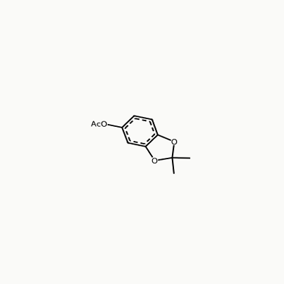 CC(=O)Oc1ccc2c(c1)OC(C)(C)O2